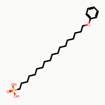 O=P(O)(O)CCCCCCCCCCCCCCCCCCOc1ccccc1